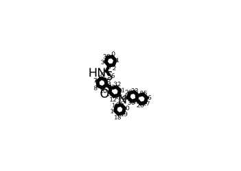 c1ccc(C2Nc3ccc4oc5cc(N(c6ccccc6)c6ccc7ccccc7c6)ccc5c4c3S2)cc1